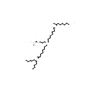 CCCCCCCC(CC)OC(=O)CCCCCCCN(CCCCCCCC(=O)OC(CCCCC)CCCCCC)CCCNC(=S)N(C)C